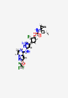 CC1(NC(=O)O[C@@H]2CC[C@H](c3cc(Nc4nccn5nc(OC(F)(F)F)cc45)n[nH]3)[C@@H]2F)CC1